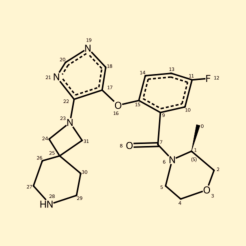 C[C@H]1COCCN1C(=O)c1cc(F)ccc1Oc1cncnc1N1CC2(CCNCC2)C1